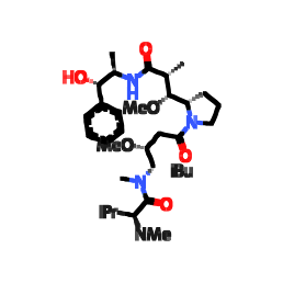 CC[C@H](C)[C@@H]([C@@H](CC(=O)N1CCC[C@H]1[C@H](OC)[C@@H](C)C(=O)N[C@H](C)[C@@H](O)c1ccccc1)OC)N(C)C(=O)[C@@H](NC)C(C)C